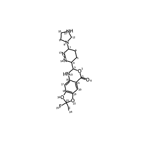 O=C1OC(C2CCC(N3CCNC3)N=N2)Nc2cc3c(cc21)OC(F)(F)O3